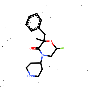 CC1(Cc2ccccc2)OC(F)CN(C2CCNCC2)C1=O